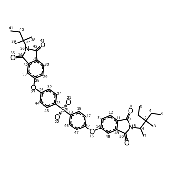 CCC(C)(CC)C(C)N1C(=O)c2ccc(Oc3ccc(S(=O)(=O)c4ccc(Oc5ccc6c(c5)C(=O)N(C(C)(C)CC)C6=O)cc4)cc3)cc2C1=O